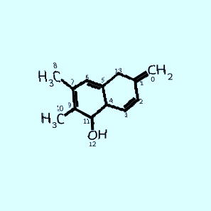 C=C1C=CC2C(=CC(C)=C(C)C2O)C1